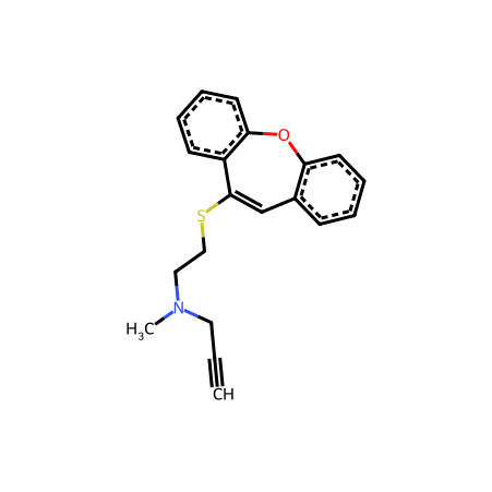 C#CCN(C)CCSC1=Cc2ccccc2Oc2ccccc21